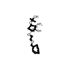 CC(C)(O)OC1C[C@@H](OCCOCc2ccccc2)[C@H](O)[C@H]1N